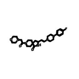 O=C(CN1CCOCC1)N1CCC2(CC1)CC(CCN1CCN(c3ccc(F)cc3)CC1)NC2=O